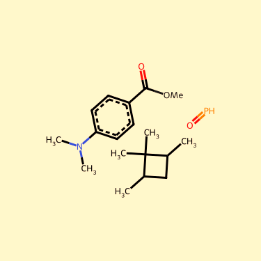 CC1CC(C)C1(C)C.COC(=O)c1ccc(N(C)C)cc1.O=P